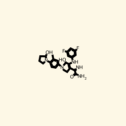 Cc1cc(N2CCC(C(=N)C(N)=O)=C(Nc3cc(F)cc(F)c3)C2O)ccc1N1CCCC1O